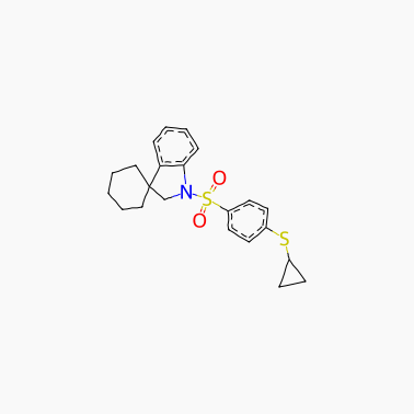 O=S(=O)(c1ccc(SC2CC2)cc1)N1CC2(CCCCC2)c2ccccc21